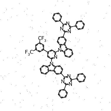 FC(F)(F)c1cc(-c2cc(-n3c4ccccc4c4cc(-c5nc(-c6ccccc6)nc(-c6ccccc6)n5)ccc43)nc(-n3c4ccccc4c4cc(-c5nc(-c6ccccc6)nc(-c6ccccc6)n5)ccc43)c2)cc(C(F)(F)F)c1